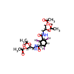 CC(=O)OCC(CNC(=O)c1c(I)cc(I)c(C(=O)NCC(COC(C)=O)OC(C)=O)c1I)OC(C)=O